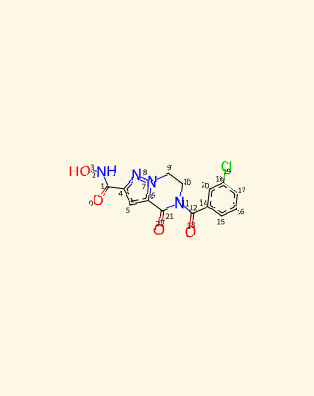 O=C(NO)c1cc2n(n1)CCN(C(=O)c1cccc(Cl)c1)C2=O